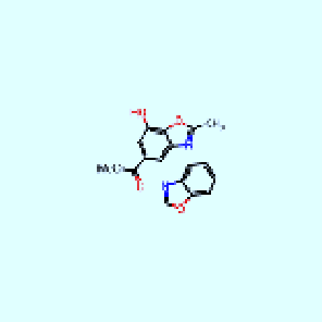 COC(=O)c1cc(O)c2oc(C)nc2c1.c1ccc2ocnc2c1